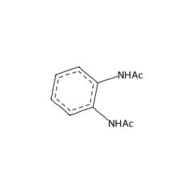 CC(=O)Nc1ccccc1NC(C)=O